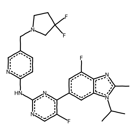 Cc1nc2c(F)cc(-c3nc(Nc4ccc(CN5CCC(F)(F)C5)cn4)ncc3F)cc2n1C(C)C